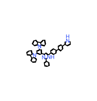 C1=CC(c2ccc(-c3ccc(C4=CC(c5cc(-n6c7ccccc7c7ccccc76)cc(-n6c7ccccc7c7ccccc76)c5)=NC(c5ccccc5)N4)cc3)cc2)=CNC1